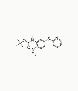 CN(C(=O)OC(C)(C)C)c1cc(Sc2ccccn2)ccc1N